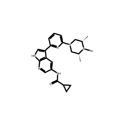 CC(=O)N1[C@H](C)CN(c2cccc(-c3c[nH]c4ncc(NC(=O)C5CC5)cc34)n2)C[C@@H]1C